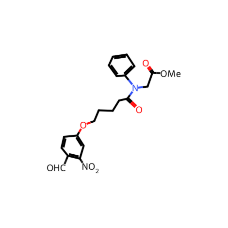 COC(=O)CN(C(=O)CCCCOc1ccc(C=O)c([N+](=O)[O-])c1)c1ccccc1